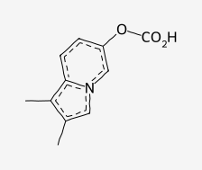 Cc1cn2cc(OC(=O)O)ccc2c1C